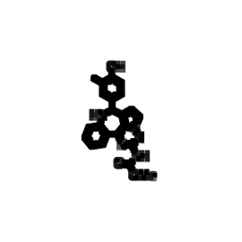 COC(=O)Nc1nc2c3c(ccn3n1)C(c1ccc(O)c(C)c1)Nc1ccccc1-2